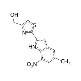 Cc1cc([N+](=O)[O-])c2[nH]c(-c3nc(CO)cs3)cc2c1